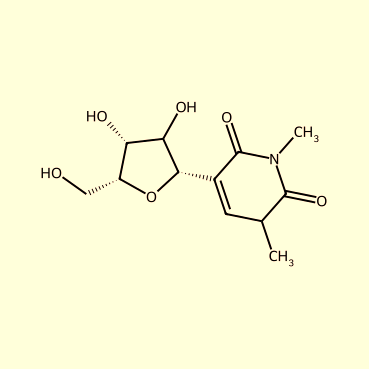 CC1C=C([C@@H]2O[C@H](CO)[C@H](O)C2O)C(=O)N(C)C1=O